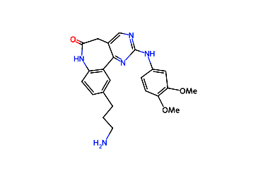 COc1ccc(Nc2ncc3c(n2)-c2cc(CCCN)ccc2NC(=O)C3)cc1OC